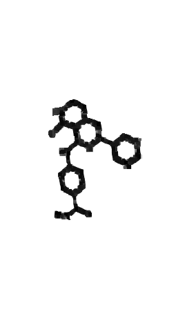 CNC(=O)c1ccc(Nc2nc(-c3cncnc3)cc3cc[nH]c(=O)c23)cc1